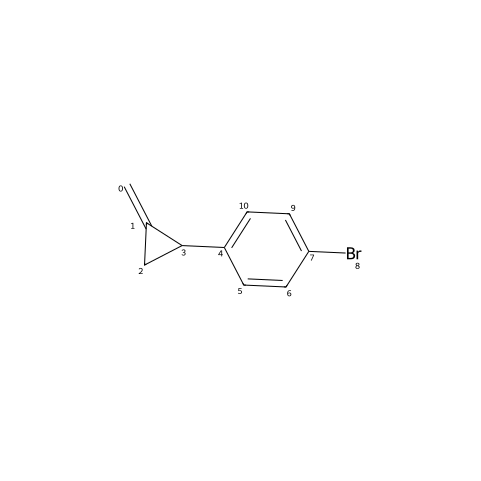 C=C1CC1c1ccc(Br)cc1